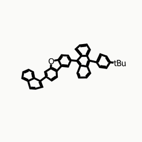 CC(C)(C)c1ccc(-c2c3ccccc3c(-c3ccc4oc5cc(-c6cccc7ccccc67)ccc5c4c3)c3ccccc23)cc1